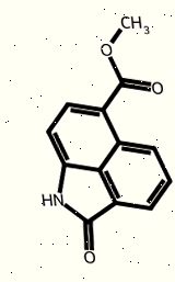 COC(=O)c1ccc2c3c(cccc13)C(=O)N2